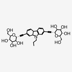 CCCN1c2cc(C#C[C@H]3O[C@H](CO)[C@@H](O)[C@H](O)[C@@H]3O)ccc2C2C=CC(C#C[C@H]3O[C@H](CO)[C@@H](O)[C@H](O)[C@@H]3O)=CC21